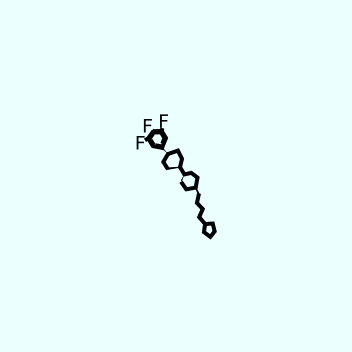 Fc1cc([C@H]2CC[C@H]([C@H]3CC[C@H](CCCCC4CCCC4)CC3)CC2)cc(F)c1F